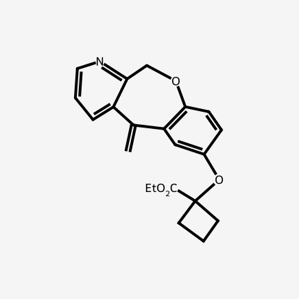 C=C1c2cc(OC3(C(=O)OCC)CCC3)ccc2OCc2ncccc21